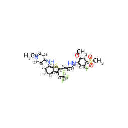 COc1cc(S(C)(=O)=O)c(F)cc1NCC#Cc1sc2c(NC3CCN(C)CC3)cccc2c1CC(F)(F)F